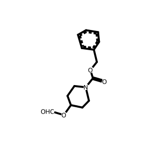 O=COC1CCN(C(=O)OCc2ccccc2)CC1